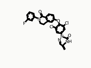 C=C1C=NN(c2cc(Cl)c(Oc3ccc4c(c3)CCN(c3cccc(F)c3)C4=O)c(Cl)c2)C(=O)N1